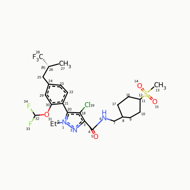 CCn1nc(C(=O)NCC2CCC(S(C)(=O)=O)CC2)c(Cl)c1-c1ccc(C[C@@H](C)C(F)(F)F)cc1OC(F)F